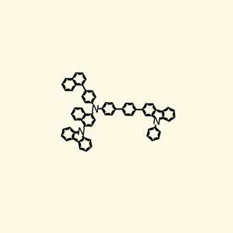 c1ccc(-n2c3ccccc3c3ccc(-c4ccc(-c5ccc(N(c6ccc(-c7cccc8ccccc78)cc6)c6ccc(-n7c8ccccc8c8ccccc87)c7ccccc67)cc5)cc4)cc32)cc1